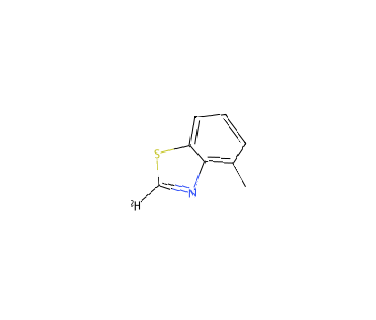 [2H]c1nc2c(C)cccc2s1